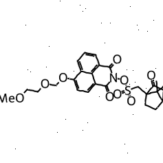 COCCOCOc1ccc2c3c(cccc13)C(=O)N(OS(=O)(=O)CC13CCC(CC1=O)C3(C)C)C2=O